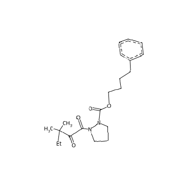 CCC(C)(C)C(=O)C(=O)N1CCCN1C(=O)OCCCCc1ccccc1